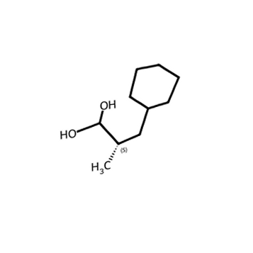 C[C@@H](CC1CCCCC1)C(O)O